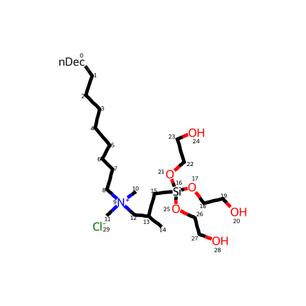 CCCCCCCCCCCCCCCCCC[N+](C)(C)CC(C)C[Si](OCCO)(OCCO)OCCO.[Cl-]